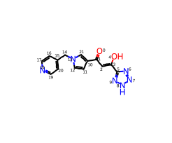 O=C(C=C(O)c1nn[nH]n1)c1ccn(Cc2ccncc2)c1